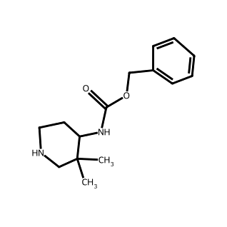 CC1(C)CNCCC1NC(=O)OCc1ccccc1